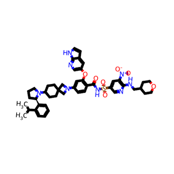 CC(C)c1ccccc1[C@H]1CCCN1C1CCC2(CC1)CN(c1ccc(C(=O)NS(=O)(=O)c3cnc(NCC4CCOCC4)c([N+](=O)[O-])c3)c(Oc3cnc4[nH]ccc4c3)c1)C2